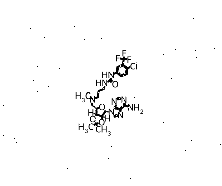 CN(CCCNC(=O)Nc1ccc(Cl)c(C(F)(F)F)c1)C[C@H]1O[C@@H](n2cnc3c(N)ncnc32)[C@@H]2OC(C)(C)O[C@@H]21